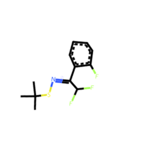 CC(C)(C)S/N=C(/c1ccccc1F)C(F)F